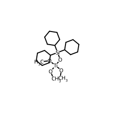 C[O][Ti]([O]C)([O]C)[O][Si](C1CCCCC1)(C1CCCCC1)C1CCCCC1